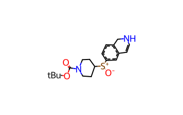 CC(C)(C)OC(=O)N1CCC([S+]([O-])c2ccc3c(c2)C=CNC3)CC1